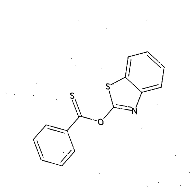 S=C(Oc1nc2ccccc2s1)c1ccccc1